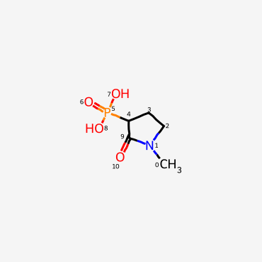 CN1CCC(P(=O)(O)O)C1=O